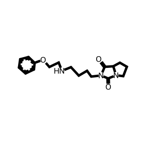 O=C1C2CCCN2C(=O)N1CCCCNCCOc1ccccc1